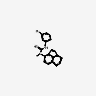 CCC(C)c1cccc(NC(=N)N(C)c2ccc3cccc4c3c2C=C4)c1